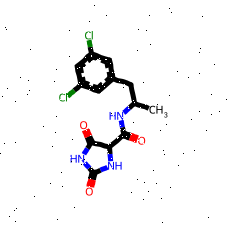 CC(Cc1cc(Cl)cc(Cl)c1)NC(=O)C1NC(=O)NC1=O